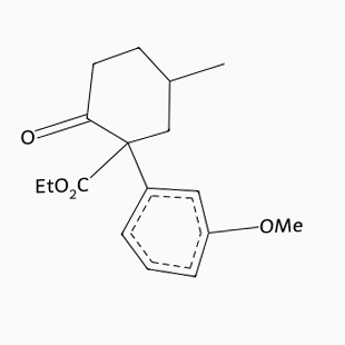 CCOC(=O)C1(c2cccc(OC)c2)CC(C)CCC1=O